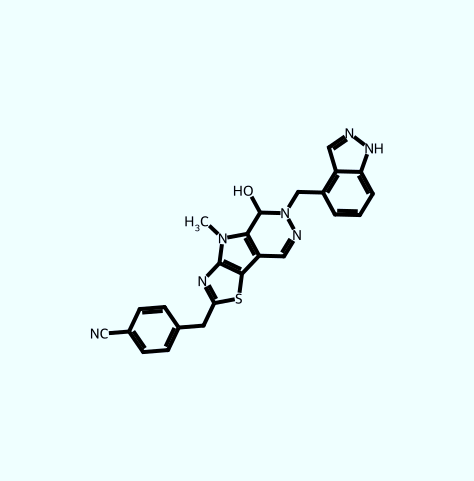 Cn1c2c(c3sc(Cc4ccc(C#N)cc4)nc31)C=NN(Cc1cccc3[nH]ncc13)C2O